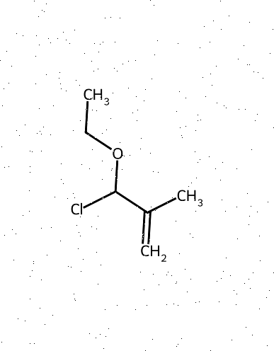 C=C(C)C(Cl)OCC